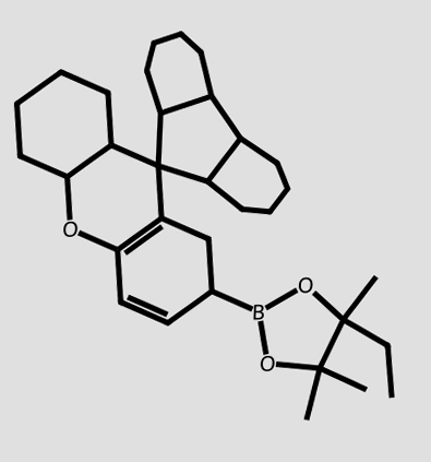 CCC1(C)OB(C2C=CC3=C(C2)C2(C4CCCCC4O3)C3CCCCC3C3CCCCC32)OC1(C)C